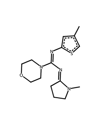 Cc1csc(N=C(N=C2CCCN2C)N2CCOCC2)c1